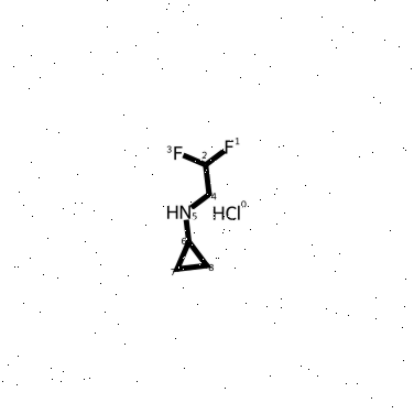 Cl.FC(F)CNC1CC1